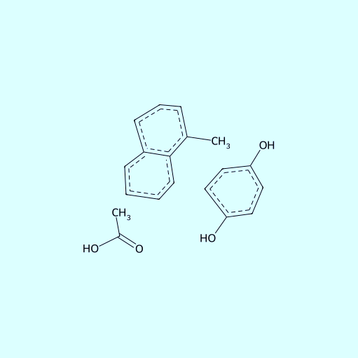 CC(=O)O.Cc1cccc2ccccc12.Oc1ccc(O)cc1